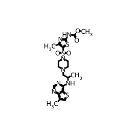 COC(=O)Nc1nc(C)c(S(=O)(=O)N2CCN(CC(C)Nc3ncnc4c(C)csc34)CC2)s1